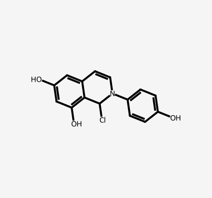 Oc1ccc(N2C=Cc3cc(O)cc(O)c3C2Cl)cc1